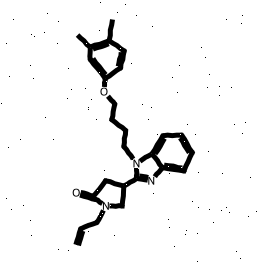 C=CCN1CC(c2nc3ccccc3n2CCCCOc2ccc(C)c(C)c2)CC1=O